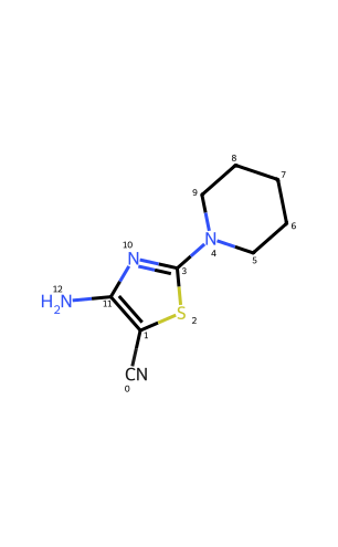 N#Cc1sc(N2CCCCC2)nc1N